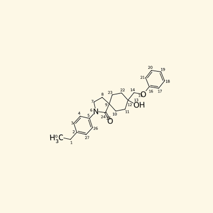 CCc1ccc(N2CCC3(CCC(O)(COc4ccccc4)CC3)C2=O)cc1